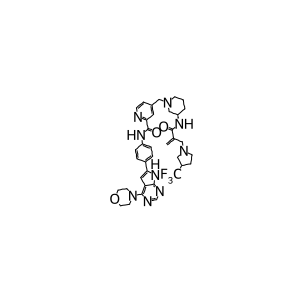 C=C(CN1CCC(C(F)(F)F)C1)C(=O)N[C@@H]1CCCN(Cc2ccnc(C(=O)Nc3ccc(-c4cc5c(N6CCOCC6)ncnc5[nH]4)cc3)c2)C1